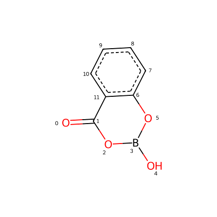 O=C1OB(O)Oc2ccccc21